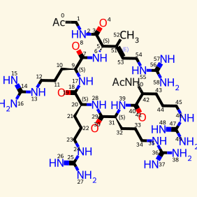 CC(=O)CNC(=O)[C@@H](NC(=O)[C@H](CCCNC(=N)N)NC(=O)[C@H](CCCNC(=N)N)NC(=O)[C@H](CCCNC(=N)N)NC(=O)C(CCCNC(=N)N)NC(C)=O)/C(C)=C/CNC(=N)N